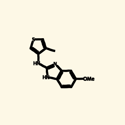 COc1ccc2[nH]c(Nc3cscc3C)nc2c1